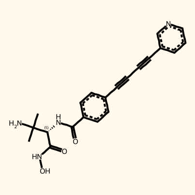 CC(C)(N)[C@H](NC(=O)c1ccc(C#CC#Cc2cccnc2)cc1)C(=O)NO